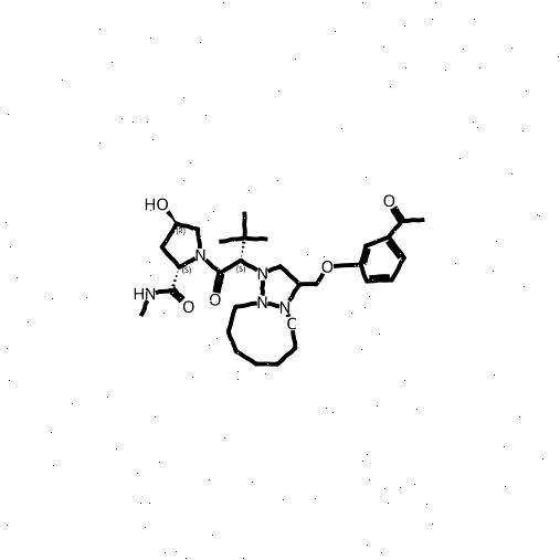 CNC(=O)[C@@H]1C[C@@H](O)CN1C(=O)[C@@H](N1CC(COc2cccc(C(C)=O)c2)N2CCCCCCCN21)C(C)(C)C